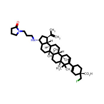 C=C(C)[C@@H]1C[C@@H](NCCCN2CCCC2=O)C2CC[C@]3(C)[C@H](CC[C@@H]4[C@@]5(C)CC=C(C6=CC[C@](CF)(C(=O)O)CC6)C(C)(C)[C@@H]5CC[C@]43C)[C@H]21